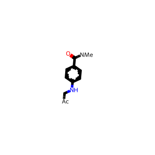 CNC(=O)c1ccc(NCC(C)=O)cc1